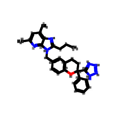 CCCc1nc2c(C)cc(C)nc2n1Cc1ccc2c(c1)CCC(c1ccccc1)(c1nnn[nH]1)O2